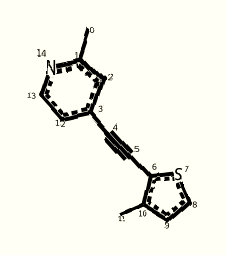 Cc1cc(C#Cc2sccc2C)ccn1